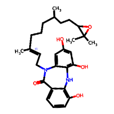 C/C(=C\CN1C(=O)c2cccc(O)c2Nc2c(O)cc(O)cc21)CCCC(C)CCC1OC1(C)C